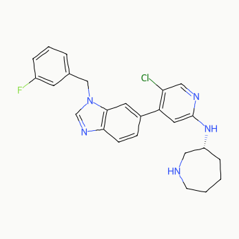 Fc1cccc(Cn2cnc3ccc(-c4cc(N[C@@H]5CCCCNC5)ncc4Cl)cc32)c1